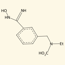 CCN(Cc1cccc(C(=N)NO)c1)C(=O)O